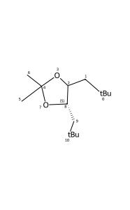 CC(C)(C)CC1OC(C)(C)O[C@H]1CC(C)(C)C